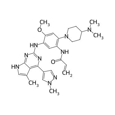 C=CC(=O)Nc1cc(Nc2nc(-c3cnn(C)c3)c3c(C)c[nH]c3n2)c(OC)cc1N1CCC(N(C)C)CC1